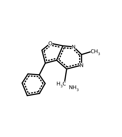 Cc1nc(C)c2c(-c3ccccc3)coc2n1.N